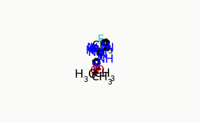 Cn1nnnc1-c1cc(N[C@@H]2CCCN(C(=O)OC(C)(C)C)C2)nc(-c2cnc3ccc(F)cn23)n1